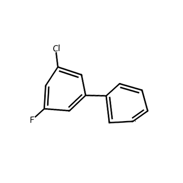 Fc1cc(Cl)cc(-c2c[c]ccc2)c1